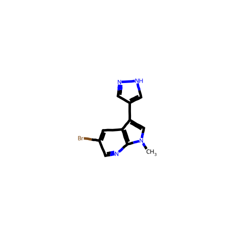 Cn1cc(-c2cn[nH]c2)c2cc(Br)cnc21